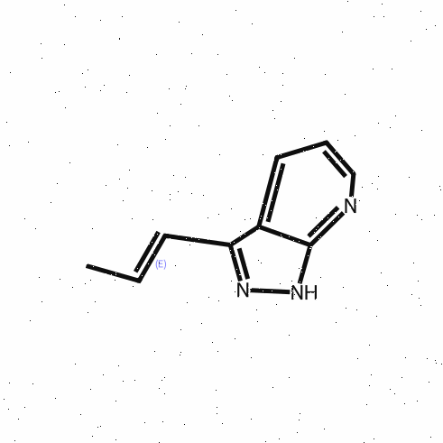 C/C=C/c1n[nH]c2ncccc12